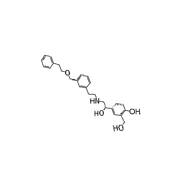 OCc1cc([C@@H](O)CNCCc2cccc(COCCc3ccccc3)c2)ccc1O